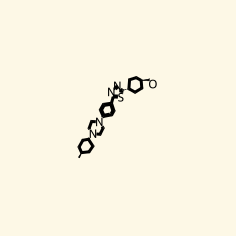 C[C@H]1CC[C@@H](N2CCN(c3ccc(-c4nnc([C@H]5CC[C@H](C=O)CC5)s4)cc3)CC2)CC1